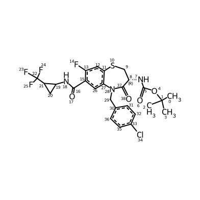 CC(C)(C)OC(=O)N[C@H]1CSc2cc(F)c(C(=O)NC3CC3C(F)(F)F)cc2N(Cc2ccc(Cl)cc2)C1=O